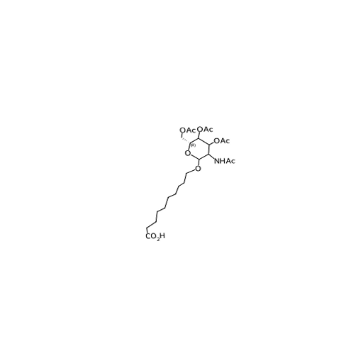 CC(=O)NC1C(OCCCCCCCCCC(=O)O)O[C@H](COC(C)=O)C(OC(C)=O)C1OC(C)=O